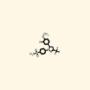 COc1ccc(C2CC(C(F)(F)F)=NN2c2ccc(S(N)(=O)=O)cc2)cc1F